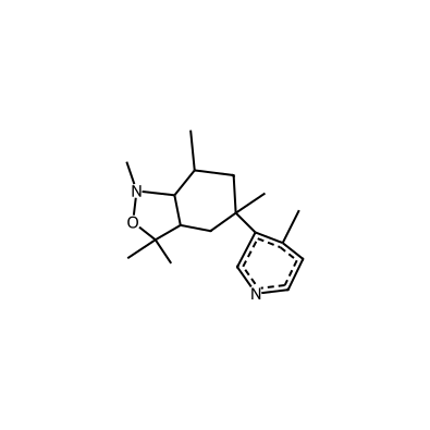 Cc1ccncc1C1(C)CC(C)C2C(C1)C(C)(C)ON2C